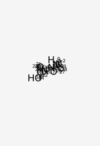 CC(C)n1nc(C(=O)N[C@H]2C[C@@H](CCCO)N(C(=O)OC(C)(C)C)C2)c2ccccc21